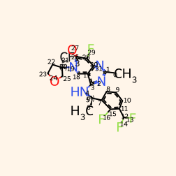 Cc1nc(N[C@H](C)c2cccc(C(F)F)c2F)c2cn([C@]3(C(F)(F)F)CCOC3)c(=O)c(F)c2n1